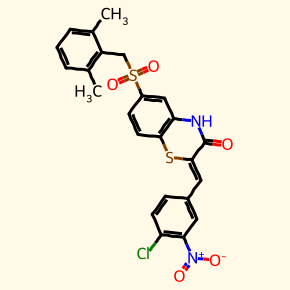 Cc1cccc(C)c1CS(=O)(=O)c1ccc2c(c1)NC(=O)C(=Cc1ccc(Cl)c([N+](=O)[O-])c1)S2